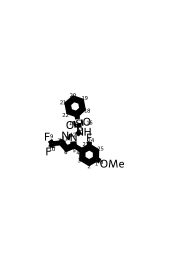 COc1ccc(-c2cc(C(F)F)nn2NS(=O)(=O)c2ccccc2)c(F)c1